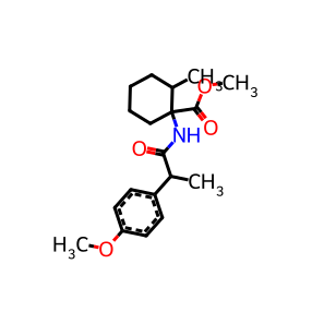 COC(=O)C1(NC(=O)C(C)c2ccc(OC)cc2)CCCCC1C